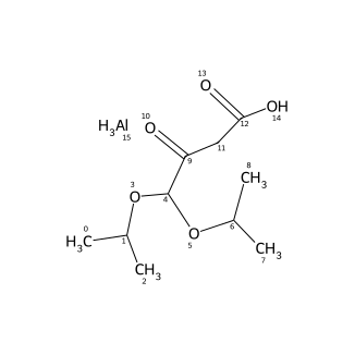 CC(C)OC(OC(C)C)C(=O)CC(=O)O.[AlH3]